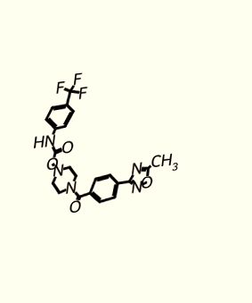 Cc1nc(-c2ccc(C(=O)N3CCN(OC(=O)Nc4ccc(C(F)(F)F)cc4)CC3)cc2)no1